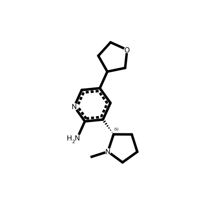 CN1CCC[C@H]1c1cc(C2CCOC2)cnc1N